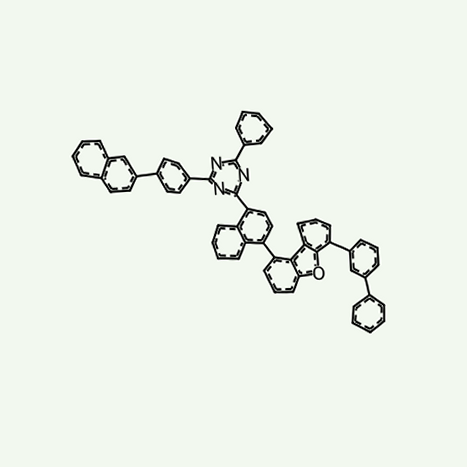 c1ccc(-c2cccc(-c3cccc4c3oc3cccc(-c5ccc(-c6nc(-c7ccccc7)nc(-c7ccc(-c8ccc9ccccc9c8)cc7)n6)c6ccccc56)c34)c2)cc1